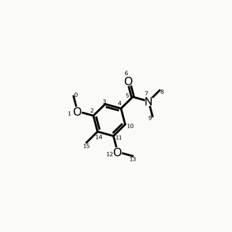 COc1cc(C(=O)N(C)C)cc(OC)c1C